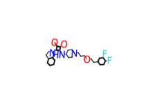 O=c1c(NC2CCN(CCCOCCc3ccc(F)c(F)c3)CC2)c(N2CCc3ccccc32)c1=O